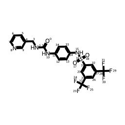 O=C(NCc1cccnc1)Nc1ccc(NS(=O)(=O)c2cc(C(F)(F)F)cc(C(F)(F)F)c2)cc1